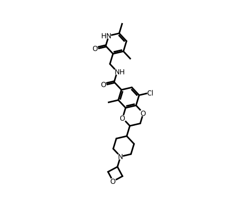 Cc1cc(C)c(CNC(=O)c2cc(Cl)c3c(c2C)OC(C2CCN(C4COC4)CC2)CO3)c(=O)[nH]1